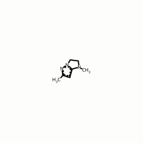 Cc1cc2n(n1)CCN2C